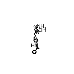 NC(=O)c1sc(CCCN2CCC(CNC3CC3c3ccccc3)CC2)nc1O